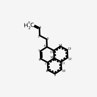 C=CCCC1C=Cc2cccc3cccc1c23